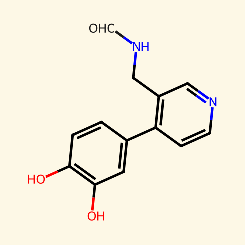 O=CNCc1cnccc1-c1ccc(O)c(O)c1